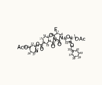 CC(=O)OC[C@H]1O[C@@H](n2cc(F)c(=O)n(C(=O)c3cccc(C(=O)Oc4cc(OC(C)=O)ccn4)c3)c2=O)C[C@@H]1OCc1ccccc1